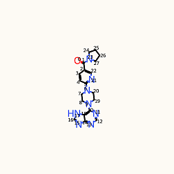 O=C(c1ccc(N2CCN(c3ncnc4nc[nH]c34)CC2)nc1)N1CCCC1